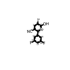 N#Cc1cc(I)c(O)nc1-c1cc(F)cc(F)c1